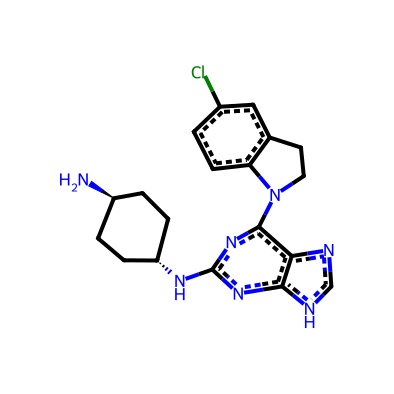 N[C@H]1CC[C@H](Nc2nc(N3CCc4cc(Cl)ccc43)c3nc[nH]c3n2)CC1